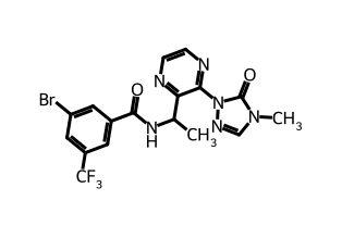 CC(NC(=O)c1cc(Br)cc(C(F)(F)F)c1)c1nccnc1-n1ncn(C)c1=O